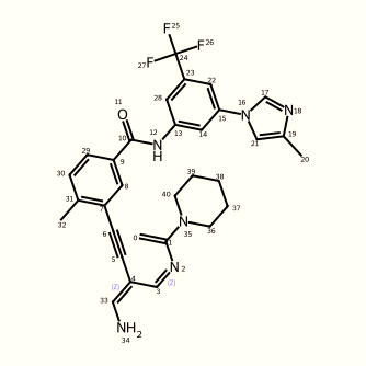 C=C(/N=C\C(C#Cc1cc(C(=O)Nc2cc(-n3cnc(C)c3)cc(C(F)(F)F)c2)ccc1C)=C/N)N1CCCCC1